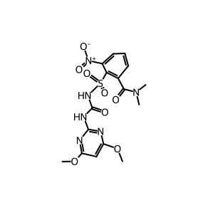 COc1cc(OC)nc(NC(=O)NS(=O)(=O)c2c(C(=O)N(C)C)cccc2[N+](=O)[O-])n1